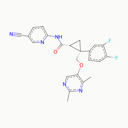 Cc1ncc(OC[C@@]2(c3ccc(F)c(F)c3)C[C@H]2C(=O)Nc2ccc(C#N)cn2)c(C)n1